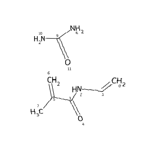 C=CNC(=O)C(=C)C.NC(N)=O